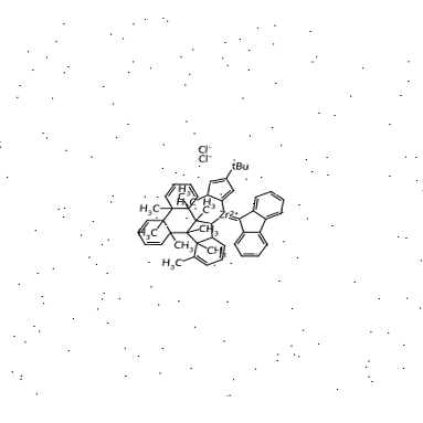 CC1=CC=CC2[CH]([Zr+2]([C]3=CC(C(C)(C)C)=CC3C)=[C]3c4ccccc4-c4ccccc43)C3(C)C4(C)C=CC=CC4(C)C4(C)C=CC=CC4(C)C3(C)C12C.[Cl-].[Cl-]